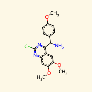 COc1ccc(C(N)c2nc(Cl)nc3cc(OC)c(OC)cc23)cc1